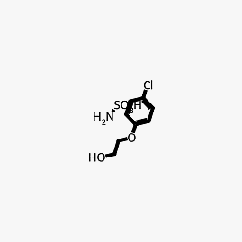 NS(=O)(=O)O.OCCOc1ccc(Cl)cc1